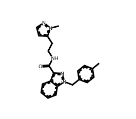 Cc1ccc(Cn2nc(C(=O)NCCc3ccnn3C)c3ccccc32)cc1